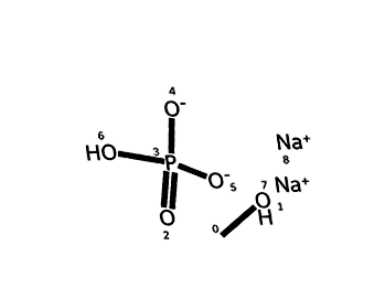 CO.O=P([O-])([O-])O.[Na+].[Na+]